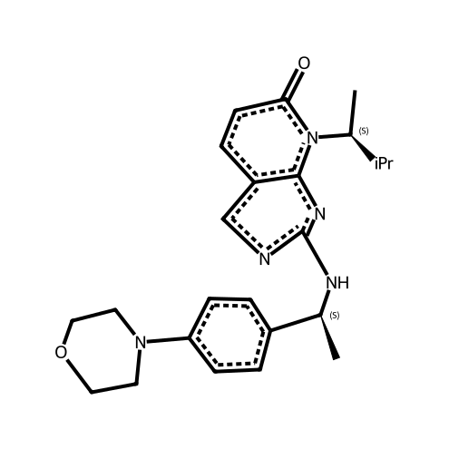 CC(C)[C@H](C)n1c(=O)ccc2cnc(N[C@@H](C)c3ccc(N4CCOCC4)cc3)nc21